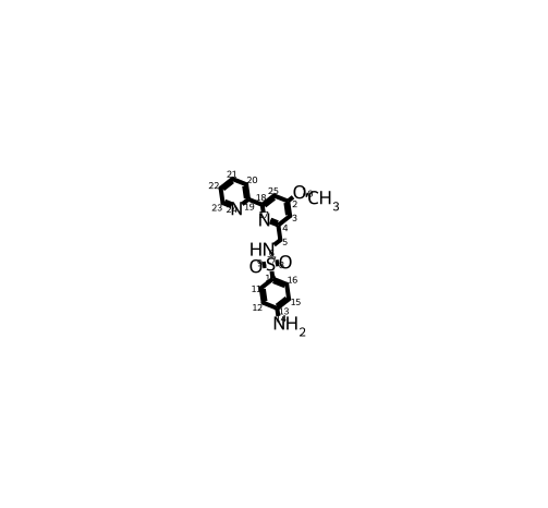 COc1cc(CNS(=O)(=O)c2ccc(N)cc2)nc(-c2ccccn2)c1